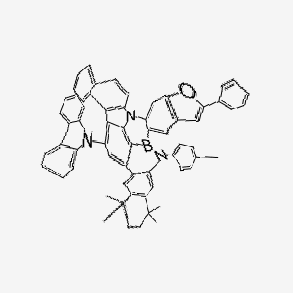 Cc1ccc(N2B3c4cc5cc(-c6ccccc6)oc5cc4-n4c5ccc6ccccc6c5c5c(-n6c7ccccc7c7ccccc76)cc(c3c54)-c3cc4c(cc32)C(C)(C)CCC4(C)C)cc1